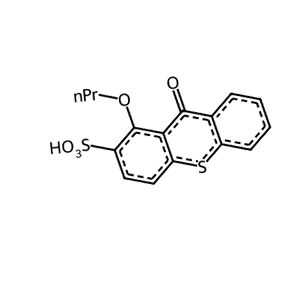 CCCOc1c(S(=O)(=O)O)ccc2sc3ccccc3c(=O)c12